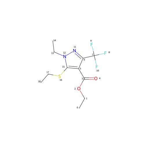 CCOC(=O)c1c(C(F)(F)F)nn(CC)c1SCC